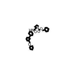 O=C(Nc1ccc(-c2cccc(COc3ccccc3)c2)cc1)C1CCCN1C(=O)OCc1ccccc1